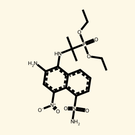 CCOP(=O)(OCC)C(C)(C)Nc1c(N)cc([N+](=O)[O-])c2c(S(N)(=O)=O)cccc12